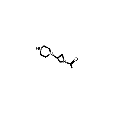 CC(=O)N1CC(N2CCNCC2)C1